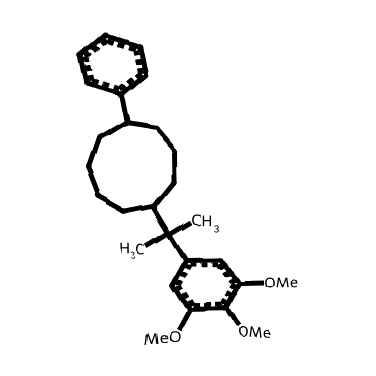 COc1cc(C(C)(C)C2CCCCC(c3ccccc3)CCC2)cc(OC)c1OC